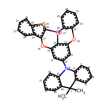 CC1(C)c2ccccc2N(c2cc3c4c(c2)Oc2c(sc5ccccc25)P4(=O)c2ccccc2O3)c2ccccc21